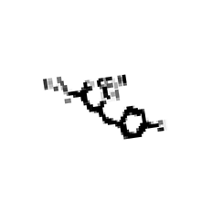 NNC(=O)CC(Cc1ccc(Cl)cc1)NC(=O)O